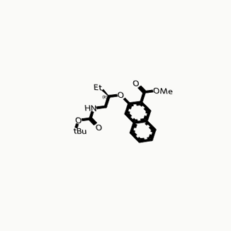 CC[C@H](CNC(=O)OC(C)(C)C)Oc1cc2ccccc2cc1C(=O)OC